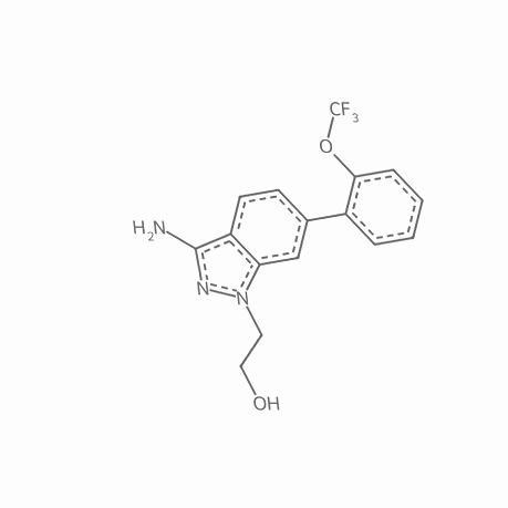 Nc1nn(CCO)c2cc(-c3ccccc3OC(F)(F)F)ccc12